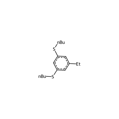 [CH2]Cc1cc(SCCCC)cc(SCCCC)c1